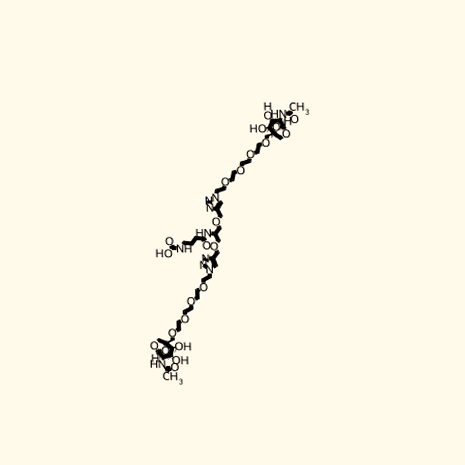 CC(=O)N[C@H]1[C@H]2OC[C@@](COCCOCCOCCOCCn3cc(COCC(COCc4cn(CCOCCOCCOCCOC[C@]56CO[C@@H](O5)[C@H](NC(C)=O)[C@@H](O)[C@H]6O)nn4)NC(=O)CCCNC(=O)O)nn3)(O2)[C@H](O)[C@@H]1O